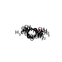 C=C/C(=C(\N=C/C)[C@H](C)OC)c1c2c3cc(ccc3n1CC)C1CSC(=N1)[C@@H](OC[C@H](C)F)[C@H](NC(=O)[C@H]1[C@H](C)[C@@H]1C)C(=O)N1CCC[C@H](N1)C(=O)OCC(C)(C)C2